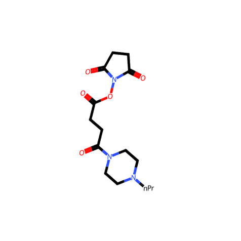 CCCN1CCN(C(=O)CCC(=O)ON2C(=O)CCC2=O)CC1